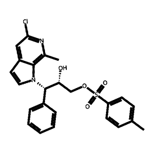 Cc1ccc(S(=O)(=O)OC[C@@H](O)[C@H](c2ccccc2)n2ccc3cc(Cl)nc(C)c32)cc1